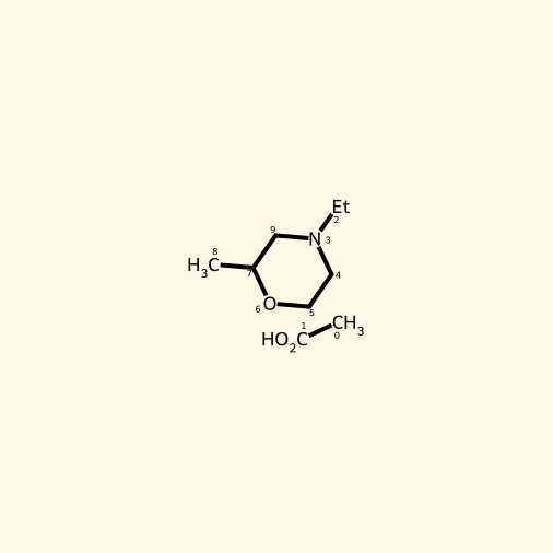 CC(=O)O.CCN1CCOC(C)C1